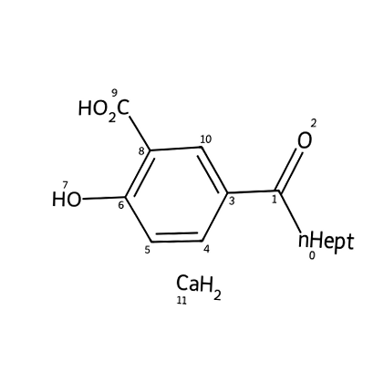 CCCCCCCC(=O)c1ccc(O)c(C(=O)O)c1.[CaH2]